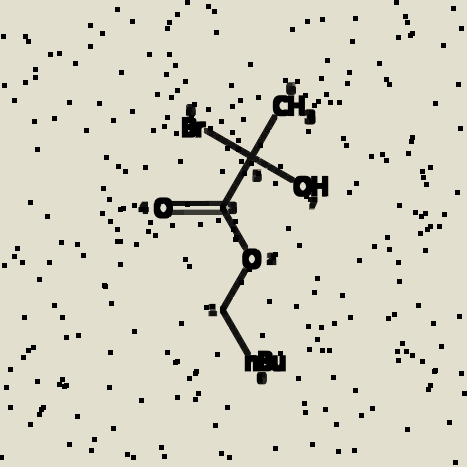 CCCCCOC(=O)C(C)(O)Br